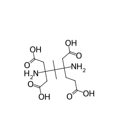 CC(C)(C(N)(CCC(=O)O)CC(=O)O)C(N)(CC(=O)O)CC(=O)O